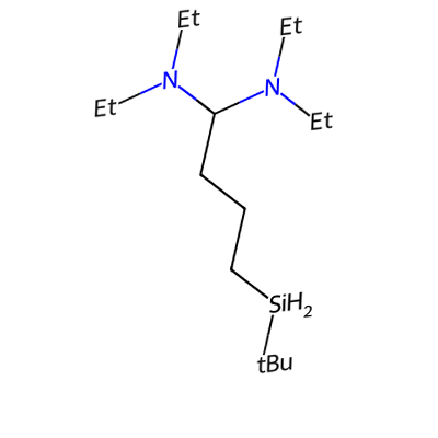 CCN(CC)C(CCC[SiH2]C(C)(C)C)N(CC)CC